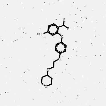 O=Cc1ccc(C(F)F)c(Oc2ccc(OCCOC3CCOCC3)cc2)c1